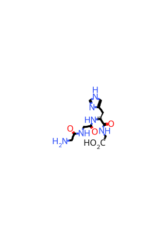 NCC(=O)NCC(=O)N[C@@H](Cc1c[nH]cn1)C(=O)NCC(=O)O